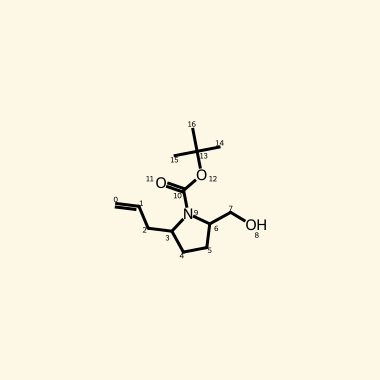 C=CCC1CCC(CO)N1C(=O)OC(C)(C)C